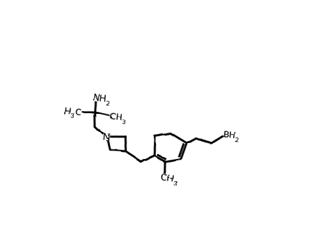 BCCC1=CC(C)=C(CC2CN(CC(C)(C)N)C2)CC1